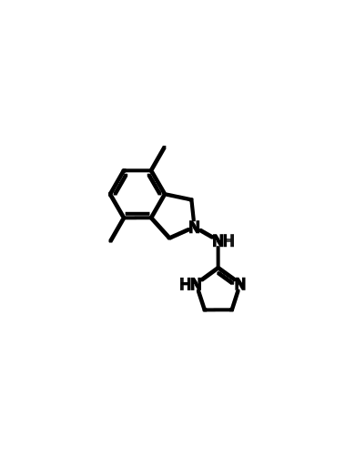 Cc1ccc(C)c2c1CN(NC1=NCCN1)C2